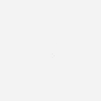 Cc1ccc(C)c(Oc2c[c]ccc2)c1